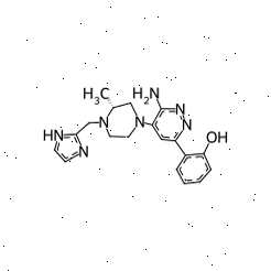 C[C@@H]1CN(c2cc(-c3ccccc3O)nnc2N)CCN1Cc1ncc[nH]1